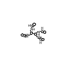 c1ccc2[nH]c(CNCc3cc(CNCc4cc5ccccc5[nH]4)cc(-c4cc(CNCc5cc6ccccc6[nH]5)cc(CNCc5cc6ccccc6[nH]5)c4)c3)cc2c1